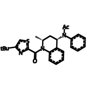 CC(=O)N(c1ccccc1)[C@H]1C[C@@H](C)N(C(=O)c2nc(C(C)(C)C)cs2)c2ccccc21